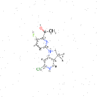 CC(=O)c1nc(N2CC3(CC3)c3cnc(Cl)cc32)ccc1F